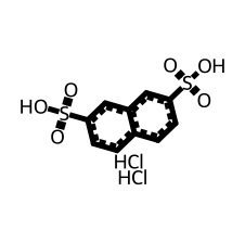 Cl.Cl.O=S(=O)(O)c1ccc2ccc(S(=O)(=O)O)cc2c1